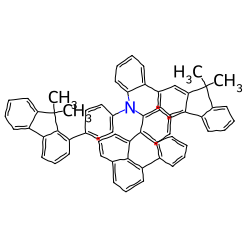 CC1(C)c2ccccc2-c2ccc(-c3ccccc3N(c3ccc(-c4cccc5c4C(C)(C)c4ccccc4-5)cc3)c3ccccc3-c3cccc4cccc(-c5ccccc5)c34)cc21